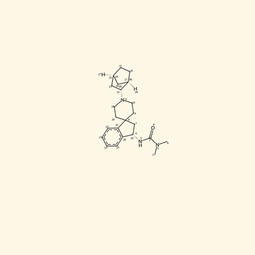 CN(C)C(=O)N[C@H]1CC2(CCN([C@@H]3C[C@H]4CC[C@@H]3C4)CC2)c2ccccc21